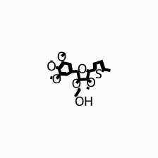 COc1cc(C2OC(c3ccc(C)s3)C(OC)C2OCCO)cc(OC)c1OC